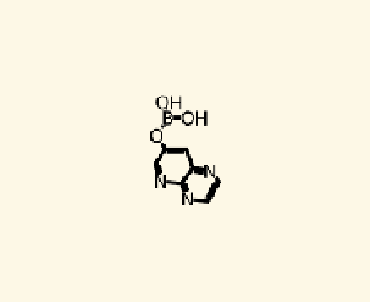 OB(O)Oc1cnc2nccnc2c1